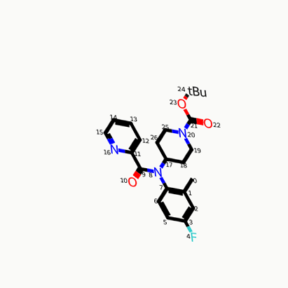 Cc1cc(F)ccc1N(C(=O)c1ccccn1)C1CCN(C(=O)OC(C)(C)C)CC1